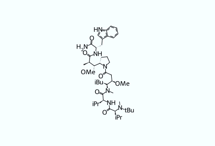 CC[C@H](C)[C@@H]([C@@H](CC(=O)N1CCC[C@H]1[C@H](OC)[C@@H](C)C(=O)N[C@@H](Cc1c[nH]c2ccccc12)C(N)=O)OC)N(C)C(=O)[C@@H](NC(=O)[C@H](C(C)C)N(C)C(C)(C)C)C(C)C